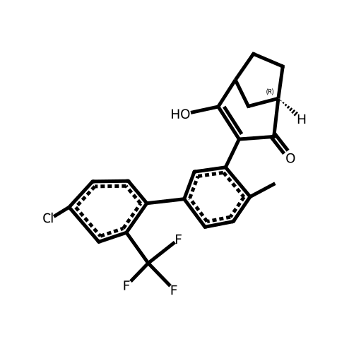 Cc1ccc(-c2ccc(Cl)cc2C(F)(F)F)cc1C1=C(O)C2CC[C@H](C2)C1=O